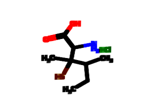 CCC(C)C(C)(S)C(N)C(=O)O.Cl